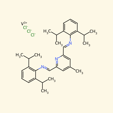 Cc1cc(C=Nc2c(C(C)C)cccc2C(C)C)nc(C=Nc2c(C(C)C)cccc2C(C)C)c1.[Cl-].[Cl-].[Cl-].[V+3]